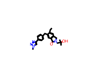 CCc1cc2c(cc1Cc1ccc(-c3cn(C)nn3)cc1)C(=O)N(CC(C)(C)O)C2